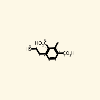 Cc1c(C(=O)O)ccc(CCS)c1C(=O)O